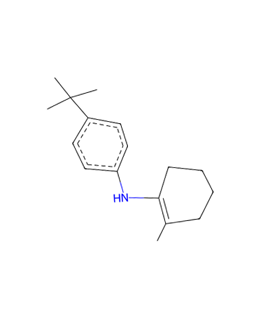 CC1=C(Nc2ccc(C(C)(C)C)cc2)CCCC1